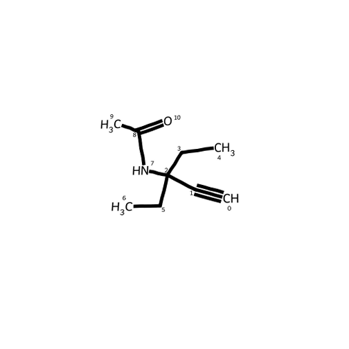 C#CC(CC)(CC)NC(C)=O